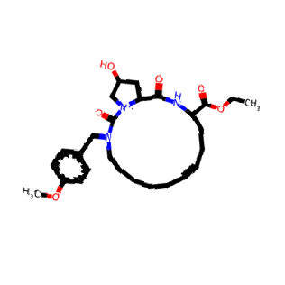 CCOC(=O)C1CCC=CCCCCCN(Cc2ccc(OC)cc2)C(=O)[N+]2CC(O)CC2C(=O)N1